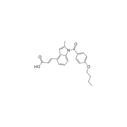 CCCCOc1ccc(C(=O)n2c(C)cc3c(/C=C/C(=O)O)cccc32)cc1